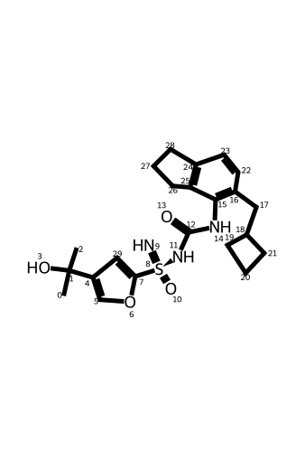 CC(C)(O)c1coc([S@](=N)(=O)NC(=O)Nc2c(CC3CCC3)ccc3c2CCC3)c1